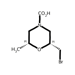 C[C@@H]1CN(C(=O)O)C[C@H](CBr)O1